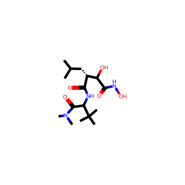 CC(C)C[C@@H](C(=O)NC(C(=O)N(C)C)C(C)(C)C)C(O)C(=O)NO